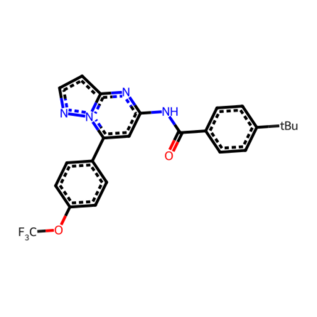 CC(C)(C)c1ccc(C(=O)Nc2cc(-c3ccc(OC(F)(F)F)cc3)n3nccc3n2)cc1